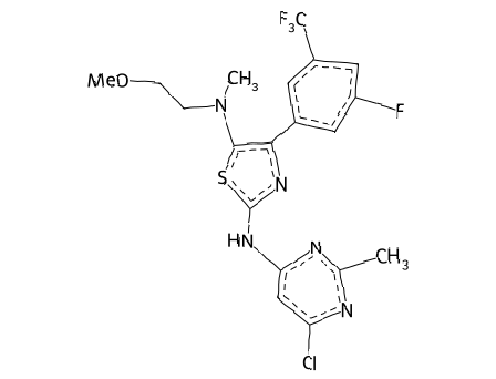 COCCN(C)c1sc(Nc2cc(Cl)nc(C)n2)nc1-c1cc(F)cc(C(F)(F)F)c1